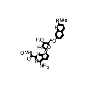 CNc1ccc2ccc(OC[C@H]3O[C@@H](n4ccc5c(N)nc(C(=O)OC)nc54)[C@@H](F)[C@@H]3O)cc2n1